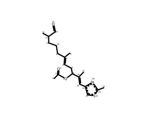 CC(=O)OC(C/C=C(\C)CCCC(C)C=O)/C(C)=C/c1csc(C)n1